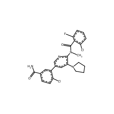 CN(C(=O)c1c(F)cccc1Cl)c1ncc(-c2cc(C(N)=O)ccc2Cl)cc1N1CCCC1